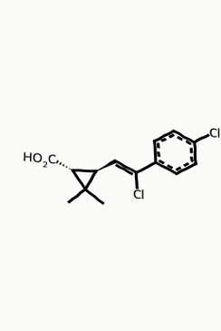 CC1(C)[C@H](C=C(Cl)c2ccc(Cl)cc2)[C@H]1C(=O)O